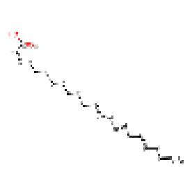 C=CCC=CCC=CCC=CCC=CCCCCC/C=C\C(=O)O